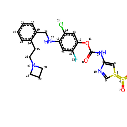 O=C(NC1=CS(=S(=O)=O)C=N1)Oc1cc(Cl)c(NCc2ccccc2CCN2CCC2)cc1F